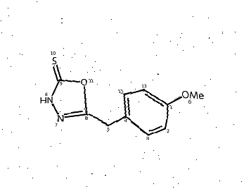 COc1ccc(Cc2n[nH]c(=S)o2)cc1